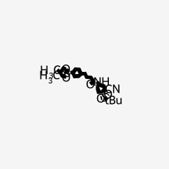 CC1(C)COB(c2ccc(CCCC(=O)Nc3ccc(S(=O)(=O)C(C)(C)C)c(C#N)c3)cc2)OC1